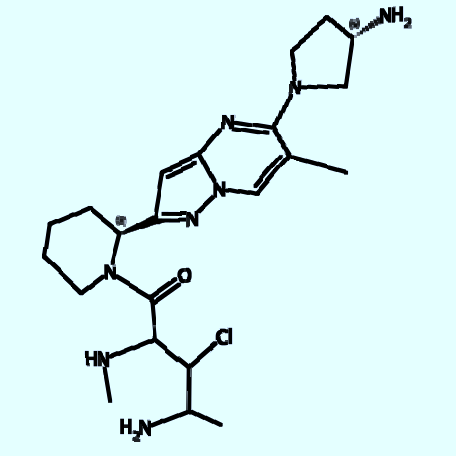 CNC(C(=O)N1CCCC[C@H]1c1cc2nc(N3CC[C@H](N)C3)c(C)cn2n1)C(Cl)C(C)N